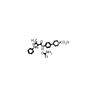 CCC(N)=O.Cc1nn(-c2ccccc2)nc1C(=O)Nc1ccc(C2CCN(C(=O)O)CC2)cc1